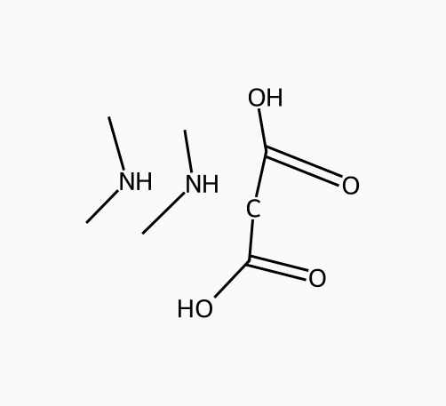 CNC.CNC.O=C(O)CC(=O)O